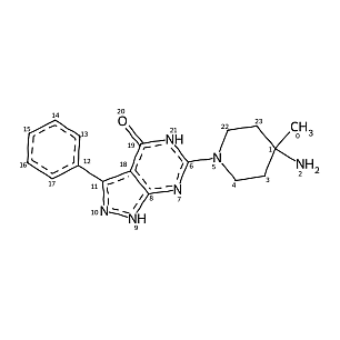 CC1(N)CCN(c2nc3[nH]nc(-c4ccccc4)c3c(=O)[nH]2)CC1